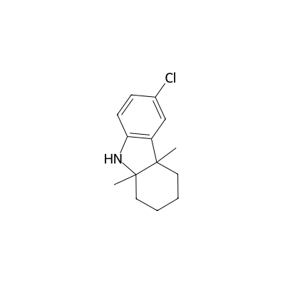 CC12CCCCC1(C)c1cc(Cl)ccc1N2